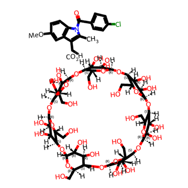 COc1ccc2c(c1)c(CC(=O)O)c(C)n2C(=O)c1ccc(Cl)cc1.OC[C@H]1O[C@@H]2O[C@H]3[C@H](O)[C@@H](O)[C@@H](O[C@H]4[C@H](O)[C@@H](O)[C@@H](O[C@H]5[C@H](O)[C@@H](O)[C@@H](O[C@H]6[C@H](O)[C@@H](O)[C@@H](O[C@H]7[C@H](O)[C@@H](O)[C@@H](O[C@H]8[C@H](O)[C@@H](O)[C@@H](O[C@H]1[C@H](O)[C@H]2O)O[C@@H]8CO)O[C@@H]7CO)O[C@@H]6CO)O[C@@H]5CO)O[C@@H]4CO)O[C@@H]3CO